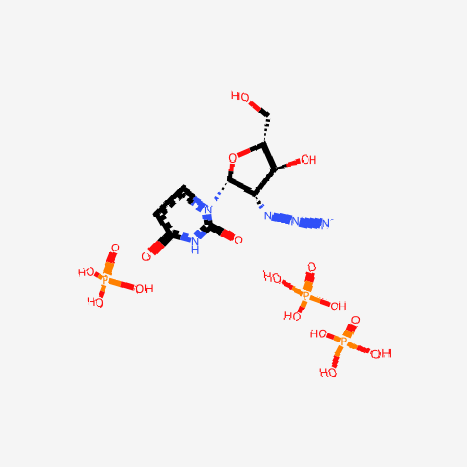 O=P(O)(O)O.O=P(O)(O)O.O=P(O)(O)O.[N-]=[N+]=N[C@H]1[C@H](O)[C@@H](CO)O[C@H]1n1ccc(=O)[nH]c1=O